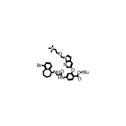 CC(C)(C)OC(=O)c1ccc(NC(=O)CNC2CCCCc3c(Br)cccc32)cc1Oc1cnc2c(ccn2COCC[Si](C)(C)C)c1